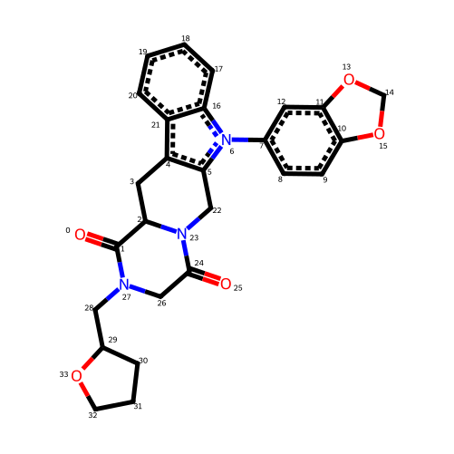 O=C1C2Cc3c(n(-c4ccc5c(c4)OCO5)c4ccccc34)CN2C(=O)CN1CC1CCCO1